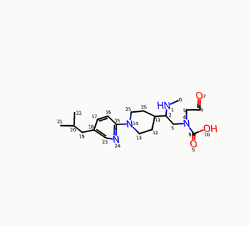 CNC(CN(CC=O)C(=O)O)C1CCN(c2ccc(CC(C)C)cn2)CC1